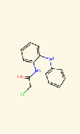 O=C(CCl)Nc1ccccc1Nc1ccccc1